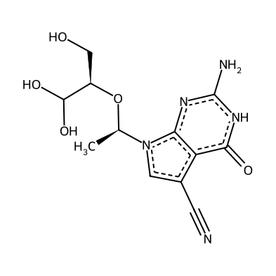 C[C@@H](O[C@H](CO)C(O)O)n1cc(C#N)c2c(=O)[nH]c(N)nc21